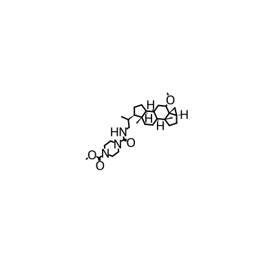 COC(=O)N1CCN(C(=O)NCC(C)[C@H]2CC[C@H]3[C@@H]4CC(OC)[C@]56C[C@H]5CC[C@]6(C)[C@H]4CC[C@]23C)CC1